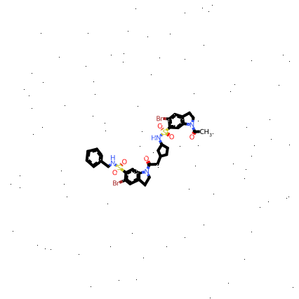 CC(=O)N1CCc2cc(Br)c(S(=O)(=O)NC3CCC(CC(=O)N4CCc5cc(Br)c(S(=O)(=O)NCc6ccccc6)cc54)C3)cc21